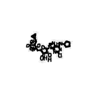 O=P(O)(O)C(CC1CC1)S(=O)(=O)C[C@H]1O[C@@H](n2cnc3c(NC4CCCC4)nc(Cl)nc32)[C@H](O)[C@@H]1O